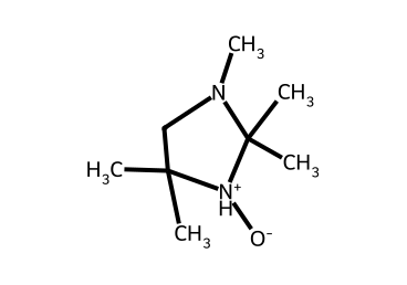 CN1CC(C)(C)[NH+]([O-])C1(C)C